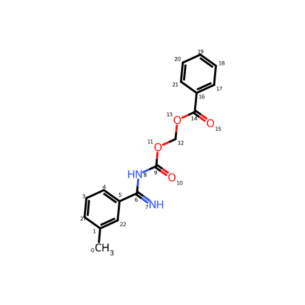 Cc1[c]ccc(C(=N)NC(=O)OCOC(=O)c2ccccc2)c1